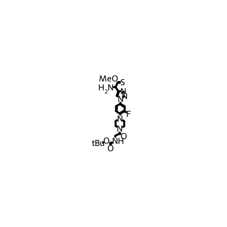 COC(=S)C(N)c1cn(-c2ccc(N3CCN(C(=O)CNC(=O)OC(C)(C)C)CC3)c(F)c2)nn1